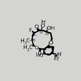 CCNc1cc(O)c2c(c1)OCC[C@H](O)[C@H](O)C(=O)/C(F)=C\[C@@H](C)[C@H](C)OC2=O